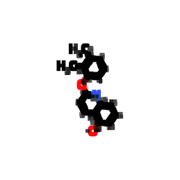 Cc1cccc(Oc2ccc3c([O])cccc3n2)c1C